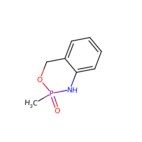 CP1(=O)Nc2ccccc2CO1